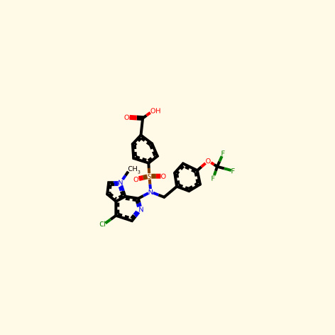 Cn1ccc2c(Cl)cnc(N(Cc3ccc(OC(F)(F)F)cc3)S(=O)(=O)c3ccc(C(=O)O)cc3)c21